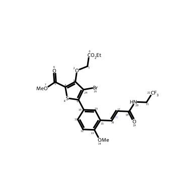 CCOC(=O)COc1c(C(=O)OC)sc(-c2ccc(OC)c(/C=C/C(=O)NCC(F)(F)F)c2)c1Br